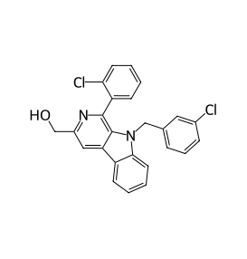 OCc1cc2c3ccccc3n(Cc3cccc(Cl)c3)c2c(-c2ccccc2Cl)n1